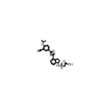 CC(C)Oc1ccc(-c2nnc(-c3cccc4c3CC[C@H]4NS(=O)(=O)CC(=O)O)s2)cc1C#N